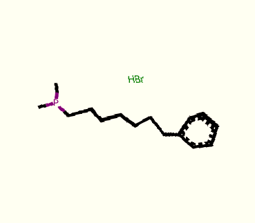 Br.CP(C)CCCCCCCc1ccccc1